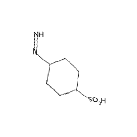 N=NC1CC[C](S(=O)(=O)O)CC1